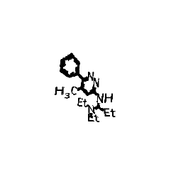 CCC(Nc1cc(C)c(-c2ccccc2)nn1)N(CC)CC